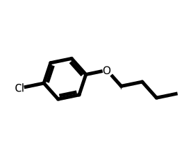 CCC[CH]Oc1ccc(Cl)cc1